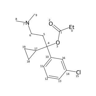 CCC(=O)OC(CCN(C)C)(c1cccc(Cl)c1)C1CC1